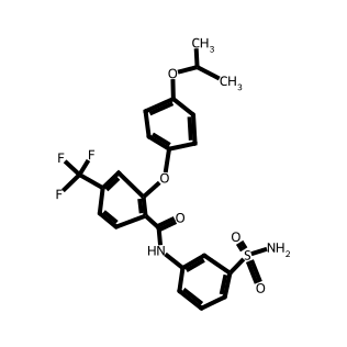 CC(C)Oc1ccc(Oc2cc(C(F)(F)F)ccc2C(=O)Nc2cccc(S(N)(=O)=O)c2)cc1